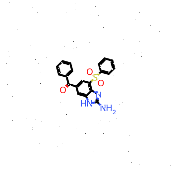 Nc1nc2c(S(=O)(=O)c3ccccc3)cc(C(=O)c3ccccc3)cc2[nH]1